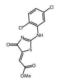 COC(=O)/C=C1\SC(Nc2cc(Cl)ccc2Cl)=NC1=O